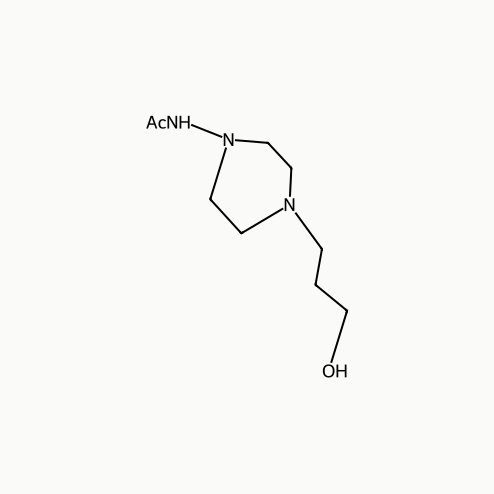 CC(=O)NN1CCN(CCCO)CC1